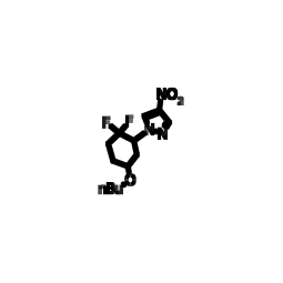 CCCCOC1CCC(F)(F)C(n2cc([N+](=O)[O-])cn2)C1